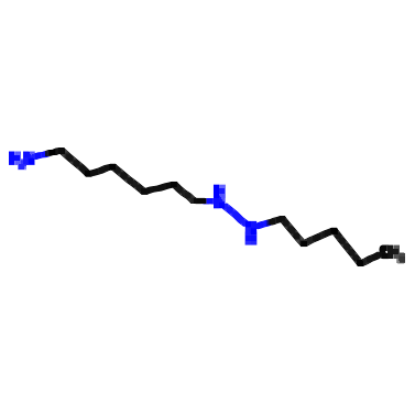 CCCCCNNCCCCCCN